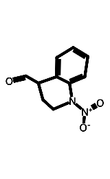 O=CC1CCN([N+](=O)[O-])c2ccccc21